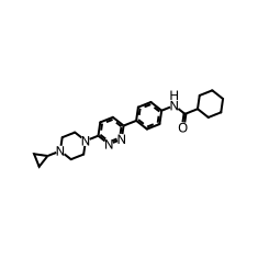 O=C(Nc1ccc(-c2ccc(N3CCN(C4CC4)CC3)nn2)cc1)C1CCCCC1